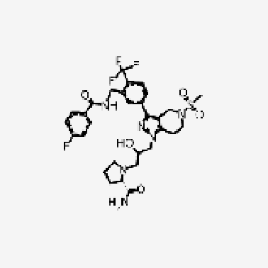 CS(=O)(=O)N1CCc2c(c(-c3ccc(C(F)(F)F)c(CNC(=O)c4ccc(F)cc4)c3)nn2CC(O)CN2CCC[C@H]2C(N)=O)C1